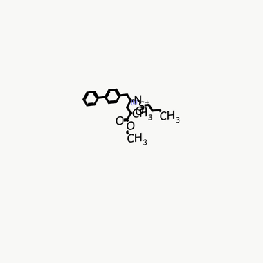 CCCC[S@+]([O-])/N=C(/Cc1ccc(-c2ccccc2)cc1)CC(C)C(=O)OCC